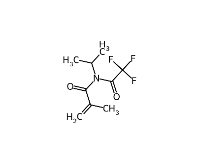 C=C(C)C(=O)N(C(=O)C(F)(F)F)C(C)C